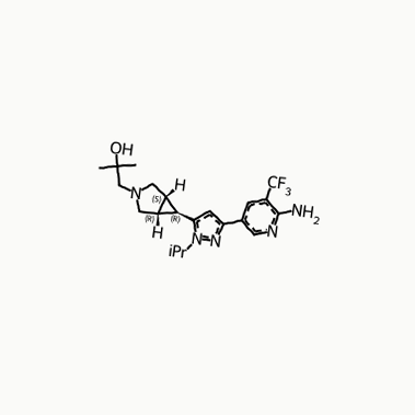 CC(C)n1nc(-c2cnc(N)c(C(F)(F)F)c2)cc1[C@H]1[C@@H]2CN(CC(C)(C)O)C[C@@H]21